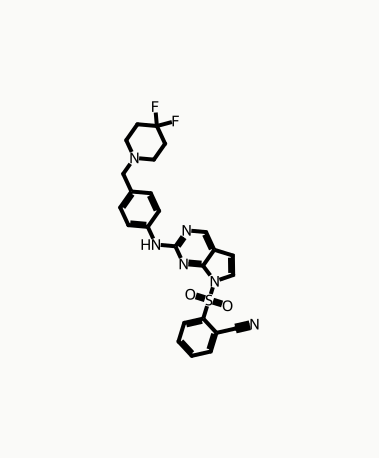 N#Cc1ccccc1S(=O)(=O)n1ccc2cnc(Nc3ccc(CN4CCC(F)(F)CC4)cc3)nc21